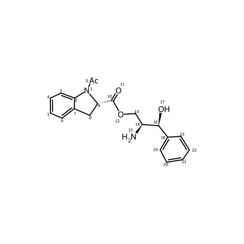 CC(=O)N1c2ccccc2C[C@H]1C(=O)OC[C@H](N)[C@@H](O)c1ccccc1